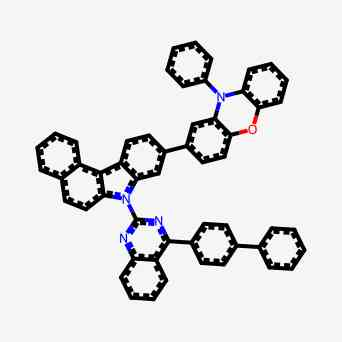 c1ccc(-c2ccc(-c3nc(-n4c5cc(-c6ccc7c(c6)N(c6ccccc6)c6ccccc6O7)ccc5c5c6ccccc6ccc54)nc4ccccc34)cc2)cc1